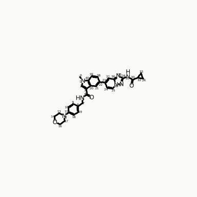 Cn1cc(C(=O)NCc2ccc(N3CCOCC3)cc2)c2cc(-c3ccn4nc(NC(=O)C5CC5)nc4c3)ccc21